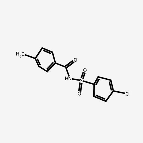 Cc1ccc(C(=O)NS(=O)(=O)c2ccc(Cl)cc2)cc1